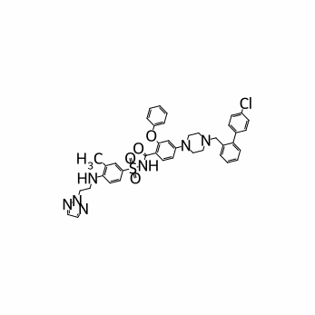 Cc1cc(S(=O)(=O)NC(=O)c2ccc(N3CCN(Cc4ccccc4-c4ccc(Cl)cc4)CC3)cc2Oc2ccccc2)ccc1NCCn1nccn1